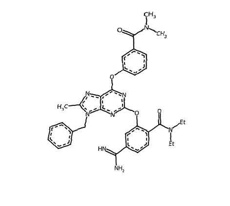 CCN(CC)C(=O)c1ccc(C(=N)N)cc1Oc1nc(Oc2cccc(C(=O)N(C)C)c2)c2nc(C)n(Cc3ccccc3)c2n1